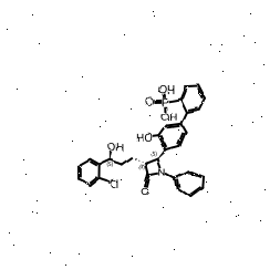 O=C1[C@H](CC[C@H](O)c2ccccc2Cl)[C@@H](c2ccc(-c3ccccc3P(=O)(O)O)cc2O)N1c1ccccc1